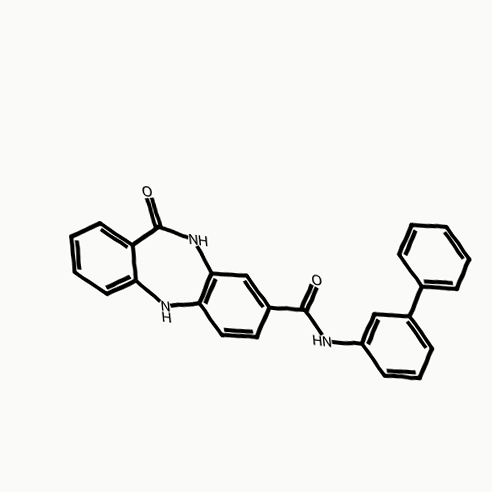 O=C(Nc1cccc(-c2ccccc2)c1)c1ccc2c(c1)NC(=O)c1ccccc1N2